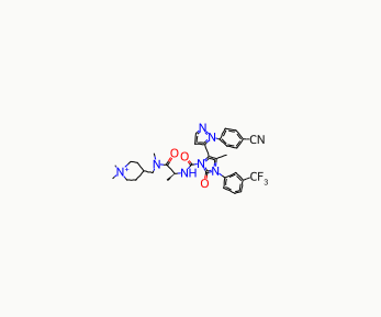 Cc1c(-c2ccnn2-c2ccc(C#N)cc2)n(C(=O)N[C@@H](C)C(=O)N(C)CC2CC[N+](C)(C)CC2)c(=O)n1-c1cccc(C(F)(F)F)c1